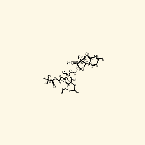 CCOC(=O)[C@H](CC(C)C)NP(=O)(OCCSC(=O)C(C)(C)C)OC[C@H]1O[C@@H](n2ccc(C)nc2=O)C(F)(F)[C@@H]1O